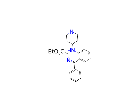 CCOC(=O)CN=C(c1ccccc1)c1ccccc1NC1CCN(C)CC1